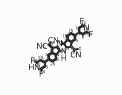 C/C(C#N)=C1\c2cc(-c3cc(F)nc(F)c3)ccc2C2=NC3=C(NC21)c1ccc(C2=CC(F)NC(F)=C2)cc1C3=C(C#N)C#N